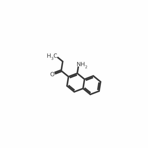 CCC(=O)c1ccc2ccccc2c1N